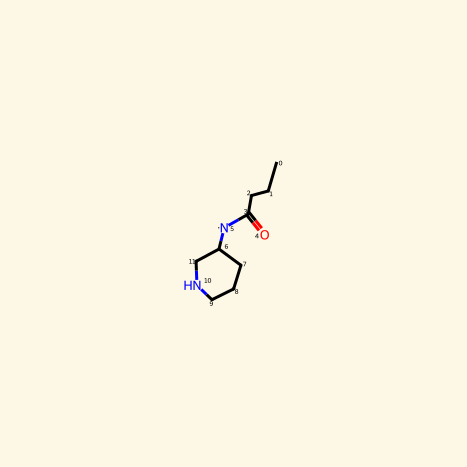 CCCC(=O)[N]C1CCCNC1